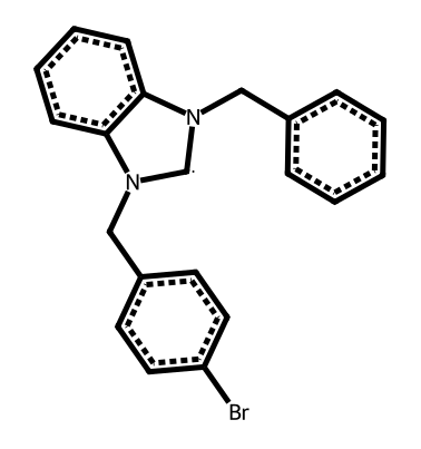 Brc1ccc(CN2[CH]N(Cc3ccccc3)c3ccccc32)cc1